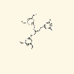 CCC1CN(CCN(CCN2CC(C)OC(C)C2)CCN2CC(CC)OC(CC)C2)CC(CC)O1